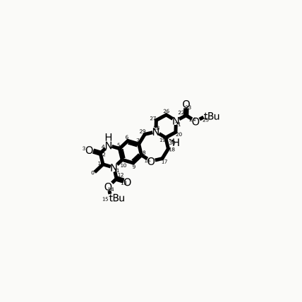 CC1C(=O)Nc2cc3c(cc2N1C(=O)OC(C)(C)C)OCC[C@@H]1CN(C(=O)OC(C)(C)C)CCN1C3